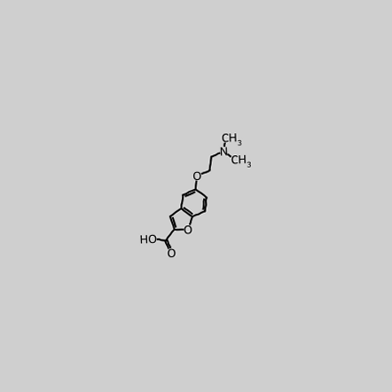 CN(C)CCOc1ccc2oc(C(=O)O)cc2c1